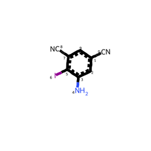 N#Cc1cc(N)c(I)c(C#N)c1